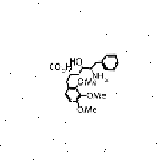 COc1ccc(C[C@H](C[C@H](O)[C@@H](N)Cc2ccccc2)C(=O)O)c(OC)c1OC